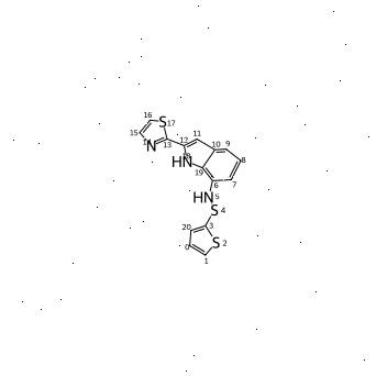 c1csc(SNc2cccc3cc(-c4nccs4)[nH]c23)c1